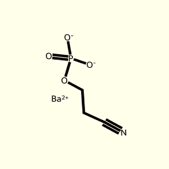 N#CCCOP(=O)([O-])[O-].[Ba+2]